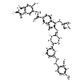 O=C(Nc1cc2[nH]c(=O)[nH]c2cc1F)c1ccc2c(c1)nc(CN1CCC(c3cccc(OCc4ccc(Cl)cc4F)n3)CC1)n2C[C@@H]1CCO1